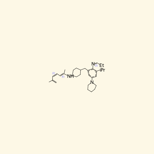 C=C(C)/C=C\C=C(/C)NC1CCC(Cc2cc(N3CCCCC3)cc(C(C)C)c2/N=C\CC)CC1